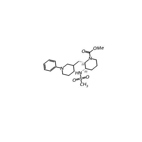 COC(=O)N1CCC[C@H](NS(C)(=O)=O)[C@@H]1CC1CCCN(c2ccccc2)C1